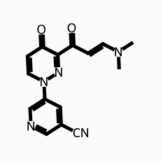 CN(C)/C=C/C(=O)c1nn(-c2cncc(C#N)c2)ccc1=O